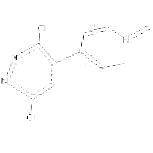 C=N/C=C\C(=C/C)c1cc(Cl)nnc1Cl